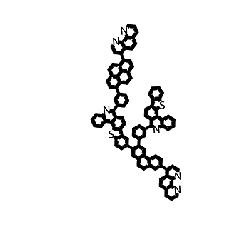 c1cc(-c2cc3c(ccc4cc(-c5ccnc6c5ccc5cccnc56)ccc43)cc2-c2ccc3sc4c(ccc5c(-c6cccc(-c7ccc8ccc9c(-c%10ccnc%11c%10ccc%10cccnc%10%11)ccc%10ccc7c8c%109)c6)nc6ccccc6c54)c3c2)cc(-c2nc3ccccc3c3c2ccc2c4ccccc4sc23)c1